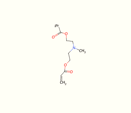 C=CC(=O)OCCN(C)CCOC(=O)C(C)C